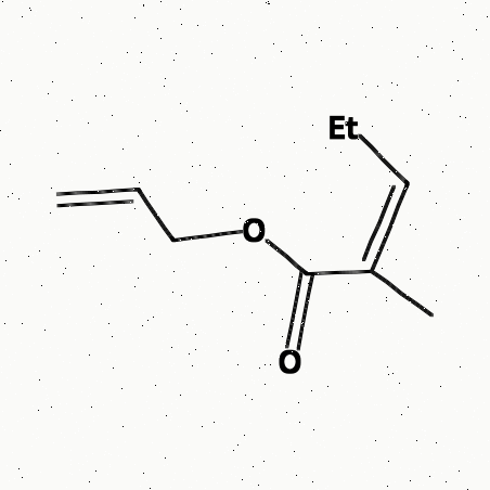 C=CCOC(=O)C(C)=CCC